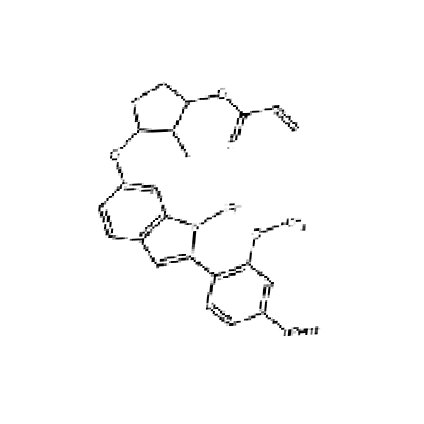 C=CC(=O)OC1CCC(Oc2ccc3cc(-c4ccc(CCCCC)cc4OC(F)(F)F)n(C(C)C)c3c2)C1C